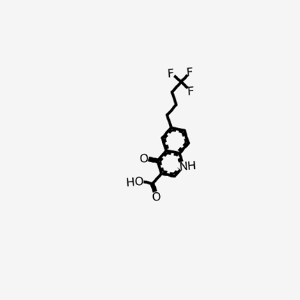 O=C(O)c1c[nH]c2ccc(CCCC(F)(F)F)cc2c1=O